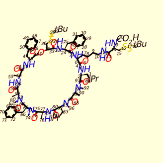 CC(C)C[C@@H]1NC(=O)C(CCCCNC(=O)[C@H](CSSC(C)(C)C)NC(=O)O)NC(=O)[C@H](Cc2ccccc2)NC(=O)C(CSSC(C)(C)C)OC(=O)[C@H](Cc2ccccc2)NC(=O)[C@H](C)NC(=O)[C@H](C)N(C)C(=O)[C@H](Cc2ccccc2)N(C)C(=O)[C@H](C)NC(=O)[C@H](CC(C)C)N(C)C(=O)C(C)N(C)C1=O